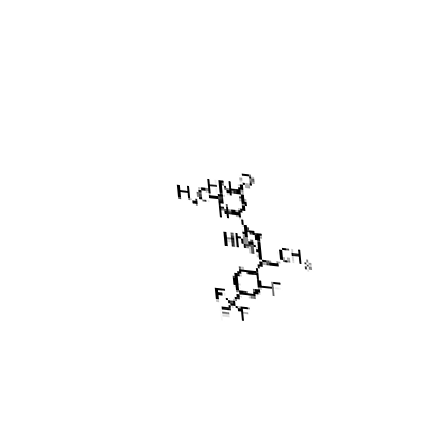 CCC(c1ccc(C(F)(F)F)cc1F)n1cc(-c2cc(=O)[nH]c(C)n2)[nH]1